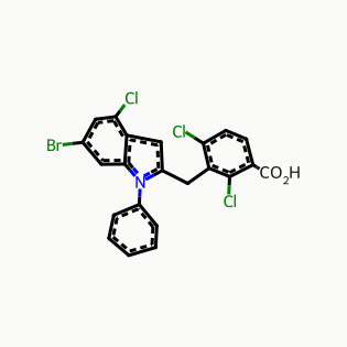 O=C(O)c1ccc(Cl)c(Cc2cc3c(Cl)cc(Br)cc3n2-c2ccccc2)c1Cl